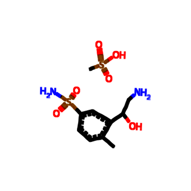 CS(=O)(=O)O.Cc1ccc(S(N)(=O)=O)cc1C(O)CN